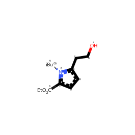 CCOC(=O)c1ccc(CCO)n1[C@@H](C)CC